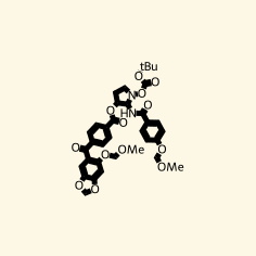 COCOc1ccc(C(=O)NC2C(OC(=O)c3ccc(C(=O)c4cc5c(cc4OCOC)OCO5)cc3)CCN2OC(=O)OC(C)(C)C)cc1